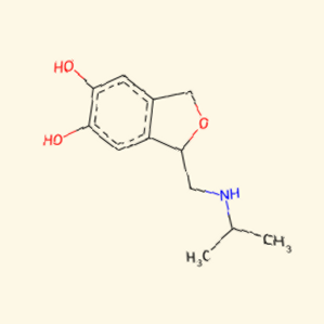 CC(C)NCC1OCc2cc(O)c(O)cc21